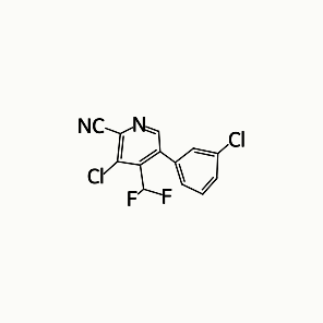 N#Cc1ncc(-c2cccc(Cl)c2)c(C(F)F)c1Cl